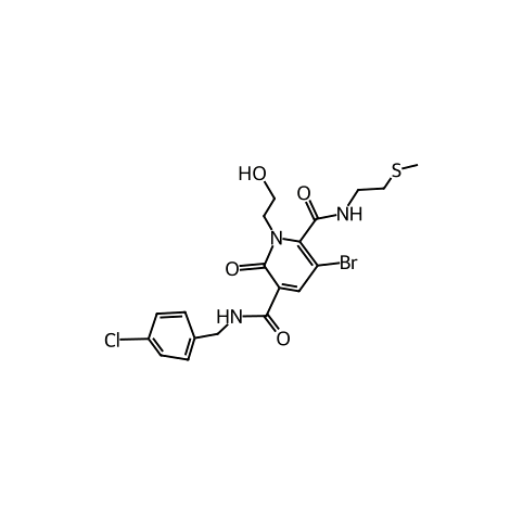 CSCCNC(=O)c1c(Br)cc(C(=O)NCc2ccc(Cl)cc2)c(=O)n1CCO